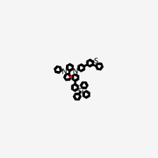 c1ccc(-n2c3ccccc3c3c(N(c4ccc(-c5cccc([Si](c6ccccc6)(c6ccccc6)c6ccccc6)c5)cc4)c4ccc(-c5ccc6sc7ccccc7c6c5)cc4)cccc32)cc1